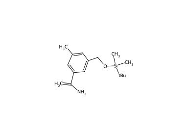 C=C(N)c1cc(C)cc(CO[Si](C)(C)C(C)(C)C)c1